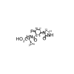 O=C(NC(C(=O)O)C1CC1)c1cc(N2CCNC2=O)ccc1F